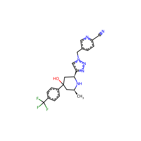 C[C@H]1CC(O)(c2ccc(C(F)(F)F)cc2)C[C@@H](c2cn(Cc3ccc(C#N)nc3)nn2)N1